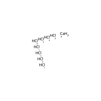 Cl.Cl.Cl.Cl.Cl.Cl.Cl.Cl.[CaH2]